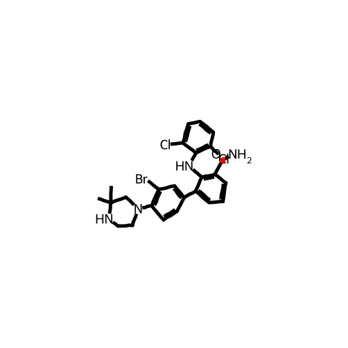 CC1(C)CN(c2ccc(-c3cccc(C(N)=O)c3Nc3c(Cl)cccc3Cl)cc2Br)CCN1